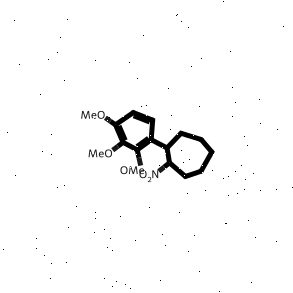 COc1ccc(C2CCCCCC2[N+](=O)[O-])c(OC)c1OC